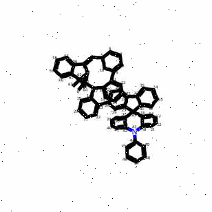 C/C1=C2\C(=C/C3C=CC=C(C3)c3ccccc3C1c1ccccc1-c1ccc3c(c1)C1(c4ccccc4-3)c3ccccc3N(c3ccccc3)c3ccccc31)c1ccccc1C2(C)C